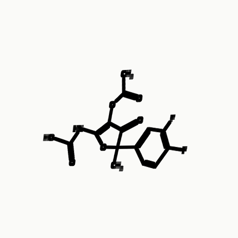 CC(=O)OC1=C(NC(=O)O)OC(C)(c2ccc(F)c(F)c2)C1=O